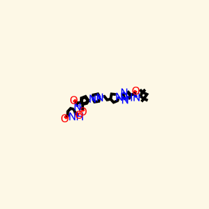 CC1(C)CC(C)(C)C1NC(=O)c1cnc(N2CCC(CCN3CCN(c4ccc5c(c4)C(=O)N(C4CCC(=O)NC4=O)C5=O)CC3)CC2)nc1